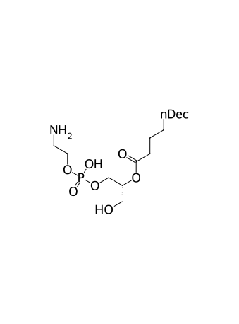 CCCCCCCCCCCCCC(=O)O[C@H](CO)COP(=O)(O)OCCN